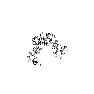 N=C(NNC(N)=NC(=O)c1ccc(-c2ccccc2C(F)(F)F)o1)NC(=O)c1ccc(-c2cccc(C(F)(F)F)c2)o1